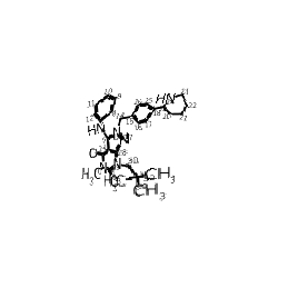 Cn1c(=O)c2c(Nc3ccccc3)n(Cc3ccc(C4CCCCN4)cc3)nc2n(CC(C)(C)C)c1=O